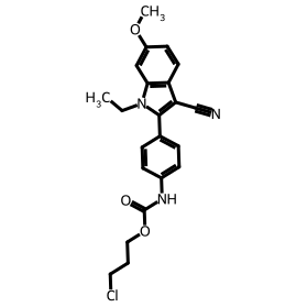 CCn1c(-c2ccc(NC(=O)OCCCCl)cc2)c(C#N)c2ccc(OC)cc21